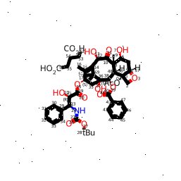 CC(=O)O[C@@]12CO[C@@H]1C[C@H](O)[C@@]1(C)C(=O)[C@H](O)C3=C(C)[C@@H](OC(=O)[C@H](O)[C@@H](NC(=O)OC(C)(C)C)c4ccccc4)C[C@@](O)([C@@H](OC(=O)c4ccccc4)[C@H]21)C3(C)C.O=C(O)CCCC(=O)O